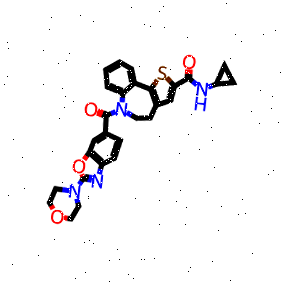 O=C(NC1CC1)c1cc2c(s1)-c1ccccc1N(C(=O)c1ccc3nc(N4CCOCC4)oc3c1)CC2